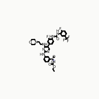 CCOC(=O)/N=[SH](=O)\c1cccc(Nc2ncc(-c3ccc(NC(=O)Nc4cc(C(F)(F)F)ccc4F)c(F)c3)c(NCCN3CCOCC3)n2)c1